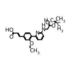 CCOc1cc(C=CC(=O)O)ccc1-c1cccc(NCC(=O)OC(C)(C)C)n1